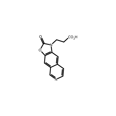 O=C(O)CCn1c(=O)oc2cc3cnccc3cc21